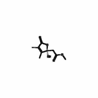 COC(=O)C[C@]1(O)OC(=O)C(C)=C1C